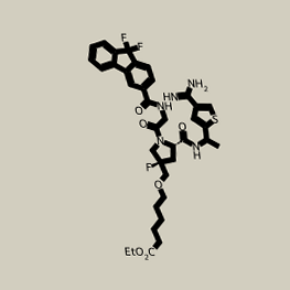 CCOC(=O)CCCCCOC[C@@]1(F)C[C@@H](C(=O)NC(C)c2cc(C(=N)N)cs2)N(C(=O)CNC(=O)c2ccc3c(c2)-c2ccccc2C3(F)F)C1